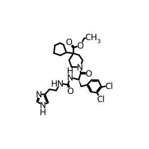 CCOC(=O)C1(C2CCCCC2)CCN(C(=O)[C@@H](Cc2ccc(Cl)c(Cl)c2)NC(=O)NCCc2c[nH]cn2)CC1